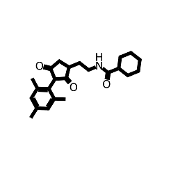 Cc1cc(C)c(C2C(=O)CC(CCNC(=O)C3CCCCC3)C2=O)c(C)c1